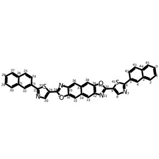 c1ccc2cc(-c3ncc(-c4nc5cc6cc7oc(-c8cnc(-c9ccc%10ccccc%10c9)s8)nc7cc6cc5o4)s3)ccc2c1